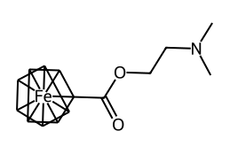 CN(C)CCOC(=O)[C]12[CH]3[CH]4[CH]5[CH]1[Fe]45321678[CH]2[CH]1[CH]6[CH]7[CH]28